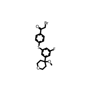 COC1(c2cc(F)cc(Sc3ccc(C(=O)CBr)cc3)c2)CCOCC1